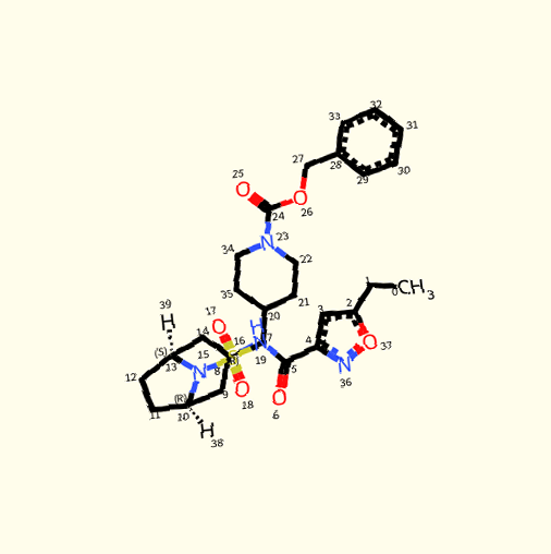 CCc1cc(C(=O)N[C@H]2C[C@H]3CC[C@@H](C2)N3S(=O)(=O)CC2CCN(C(=O)OCc3ccccc3)CC2)no1